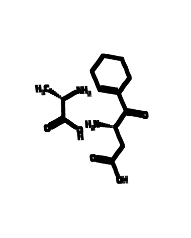 C[C@H](N)C(=O)O.N[C@@H](CC(=O)O)C(=O)C1=CCCCC1